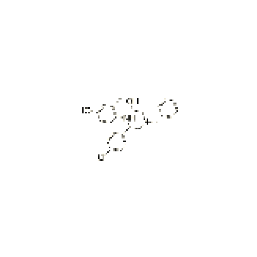 OCCN(Cc1ccccc1)CC(Nc1ccc(O)cc1F)c1ccc(Cl)cc1